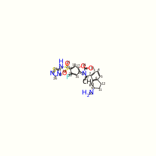 C[C@H](c1cccc2c1CC(N)CC2)n1c(=O)oc2cc(S(=O)(=O)Nc3ncns3)c(F)cc21